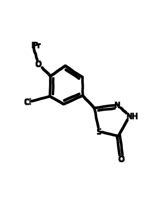 CC(C)Oc1ccc(-c2n[nH]c(=O)s2)cc1Cl